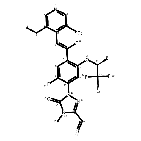 CCc1cncc(P)c1/C=C(\F)c1cc(F)c(-n2nc(C=O)n(C)c2=O)cc1O[C@@H](C)C(F)(F)F